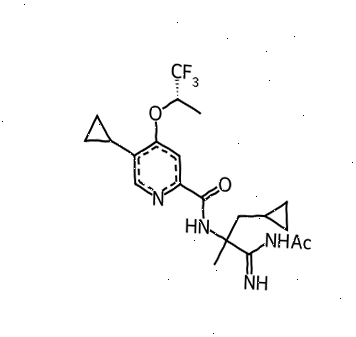 CC(=O)NC(=N)C(C)(CC1CC1)NC(=O)c1cc(O[C@@H](C)C(F)(F)F)c(C2CC2)cn1